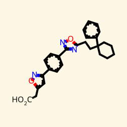 O=C(O)Cc1cc(-c2ccc(-c3noc(CCC4(c5ccccc5)CCCCC4)n3)cc2)no1